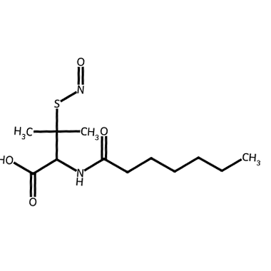 CCCCCCC(=O)NC(C(=O)O)C(C)(C)SN=O